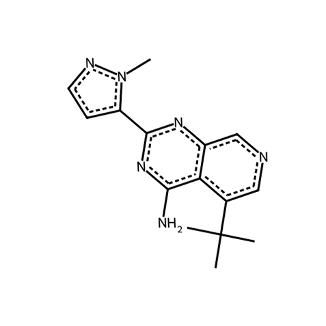 Cn1nccc1-c1nc(N)c2c(C(C)(C)C)cncc2n1